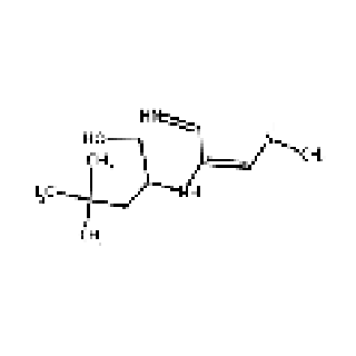 CN/C=C(\C=N)NC(CO)CC(C)(C)C